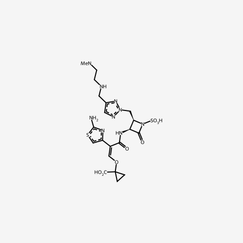 CNCCNCc1cnn(C[C@@H]2[C@H](NC(=O)/C(=C\OC3(C(=O)O)CC3)c3csc(N)n3)C(=O)N2S(=O)(=O)O)n1